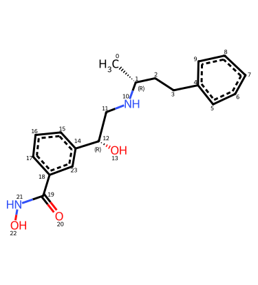 C[C@H](CCc1ccccc1)NC[C@H](O)c1cccc(C(=O)NO)c1